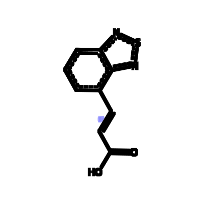 O=C(O)/C=C/c1cccc2nsnc12